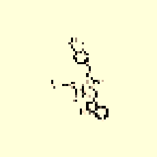 CCOC(=O)[N+](C)(C)C(Cc1c[nH]c2ccccc12)C(=O)OCc1ccc(OC)cc1